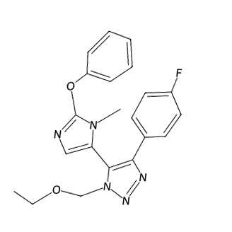 CCOCn1nnc(-c2ccc(F)cc2)c1-c1cnc(Oc2ccccc2)n1C